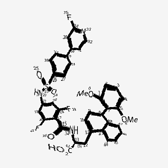 COc1cccc(OC)c1-c1ccc(C[C@H](NC(=O)c2c(F)cc(NS(=O)(=O)c3ccc(-c4ccnc(F)c4)cc3)cc2F)C(=O)O)c2ccccc12